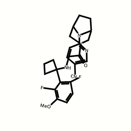 COc1ccc(F)c(C2(NCC(=O)N3CC4CCC(C3)N4c3ccc(C#N)cn3)CCC2)c1F